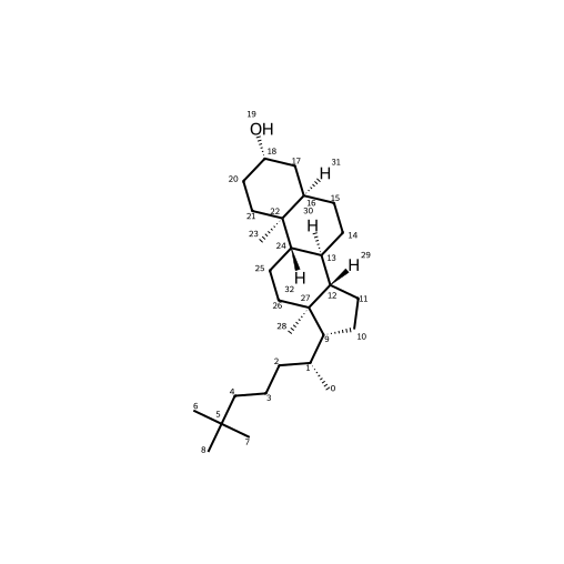 C[C@H](CCCC(C)(C)C)[C@H]1CC[C@H]2[C@@H]3CC[C@@H]4C[C@@H](O)CC[C@]4(C)[C@H]3CC[C@]12C